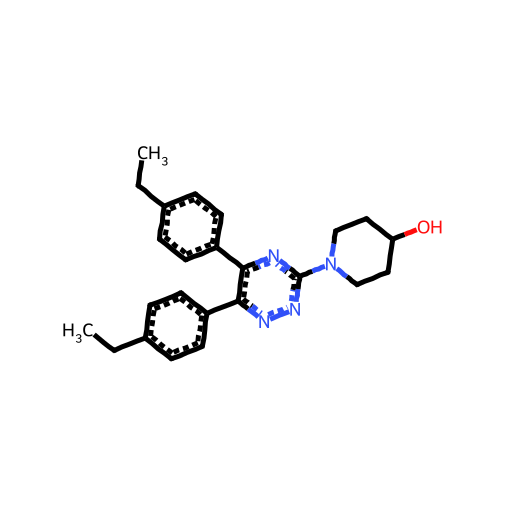 CCc1ccc(-c2nnc(N3CCC(O)CC3)nc2-c2ccc(CC)cc2)cc1